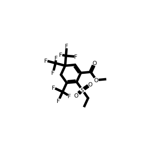 CCS(=O)(=O)C1=C(C(F)(F)F)CC(C(F)(F)F)(C(F)(F)F)C=C1C(=O)OC